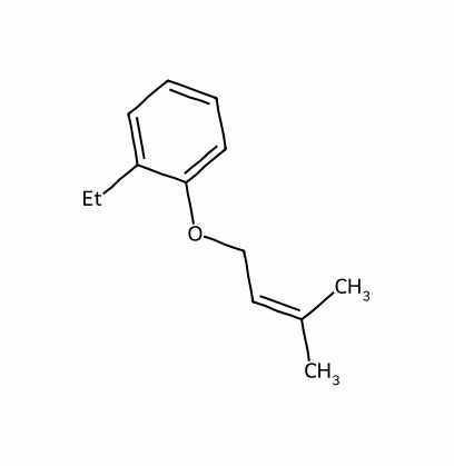 CCc1ccccc1OCC=C(C)C